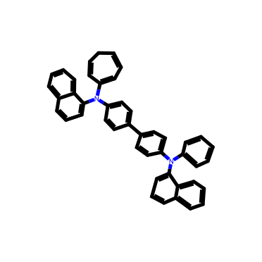 C1=CCC=CC(N(c2ccc(-c3ccc(N(c4ccccc4)c4cccc5ccccc45)cc3)cc2)c2cccc3ccccc23)=C1